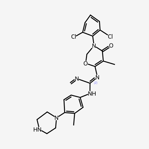 C=N/C(=N\C1=C(C)C(=O)N(c2c(Cl)cccc2Cl)CO1)Nc1ccc(N2CCNCC2)c(C)c1